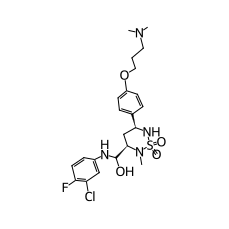 CN(C)CCCOc1ccc([C@@H]2C[C@H](C(O)Nc3ccc(F)c(Cl)c3)N(C)S(=O)(=O)N2)cc1